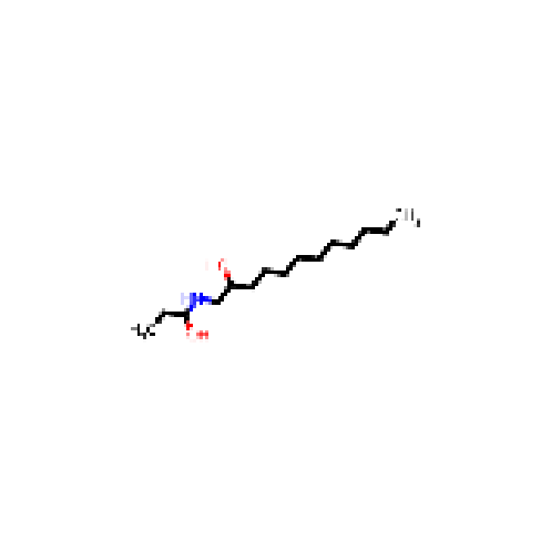 CCCCCCCCCCC(O)CNC(O)CC